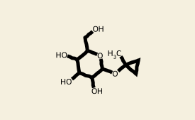 CC1(OC2OC(CO)C(O)C(O)C2O)CC1